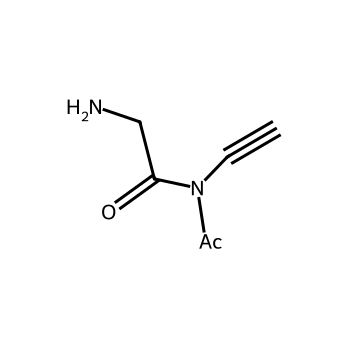 C#CN(C(C)=O)C(=O)CN